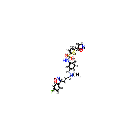 CN(CCCc1noc2cc(F)ccc12)Cc1cccc(NS(=O)(=O)c2ccc(-c3ccno3)s2)c1